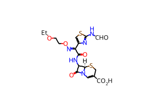 CCOCCON=C(C(=O)NC1C(=O)N2C=C(C(=O)O)CS[C@H]12)c1csc(NC=O)n1